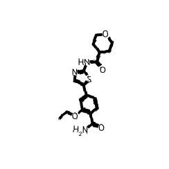 CCOc1cc(-c2cnc(NC(=O)C3CCOCC3)s2)ccc1C(N)=O